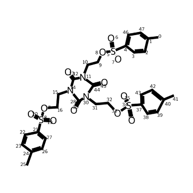 Cc1ccc(S(=O)(=O)OCCn2c(=O)n(CCOS(=O)(=O)c3ccc(C)cc3)c(=O)n(CCOS(=O)(=O)c3ccc(C)cc3)c2=O)cc1